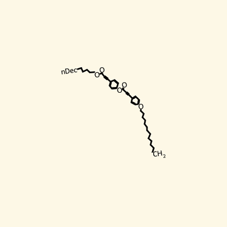 C=CCCCCCCCCCCCCOc1ccc(C#CC(=O)Oc2ccc(C#CC(=O)OCCCCCCCCCCCCCCC)cc2)cc1